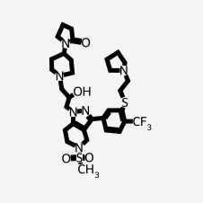 CS(=O)(=O)N1CCc2c(c(-c3ccc(C(F)(F)F)c(SCCN4CCCC4)c3)nn2CC(O)CN2CCC(N3CCCC3=O)CC2)C1